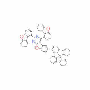 c1ccc(C2(c3ccccc3)c3ccccc3-c3ccc(-c4ccc5oc6nc(-c7cccc8oc9ccccc9c78)nc(-c7cccc8oc9ccccc9c78)c6c5c4)cc32)cc1